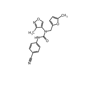 Cc1ccc(CN(C(=O)Nc2ccc(C#N)cc2)c2conc2C)o1